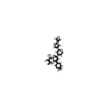 Cc1nc2c(C3CCC(F)(F)CC3)cc([C@H]3CCO[C@@H](c4cnn(C5COC5)c4)C3)nn2c(=O)c1C